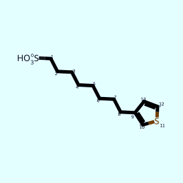 O=S(=O)(O)CCCCCCCCc1[c]s[c]c1